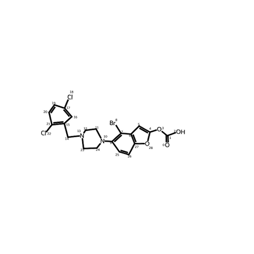 O=C(O)Oc1cc2c(Br)c(N3CCN(Cc4cc(Cl)ccc4Cl)CC3)ccc2o1